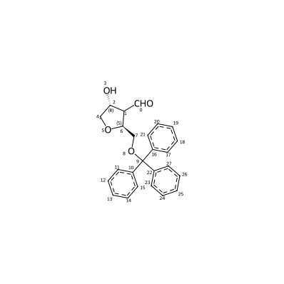 O=CC1[C@@H](O)[CH]O[C@@H]1COC(c1ccccc1)(c1ccccc1)c1ccccc1